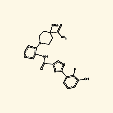 CNC1(C(N)=O)CCN(c2ccccc2NC(=O)c2csc(-c3cccc(O)c3F)n2)CC1